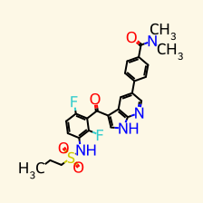 CCCS(=O)(=O)Nc1ccc(F)c(C(=O)c2c[nH]c3ncc(-c4ccc(C(=O)N(C)C)cc4)cc23)c1F